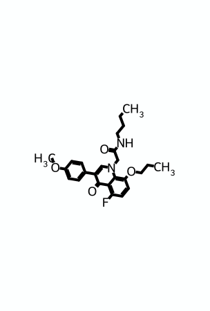 CCCCNC(=O)Cn1cc(-c2ccc(OC)cc2)c(=O)c2c(F)ccc(OCCC)c21